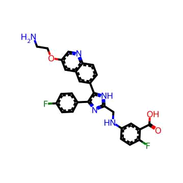 NCCOc1cnc2ccc(-c3[nH]c(CNc4ccc(F)c(C(=O)O)c4)nc3-c3ccc(F)cc3)cc2c1